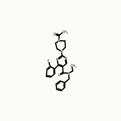 CCN(Cc1ccccc1)C(=O)c1cnc(N2CCN(C(C)=O)CC2)nc1-c1ccccc1F